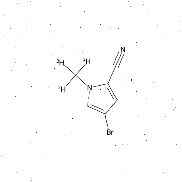 [2H]C([2H])([2H])n1cc(Br)cc1C#N